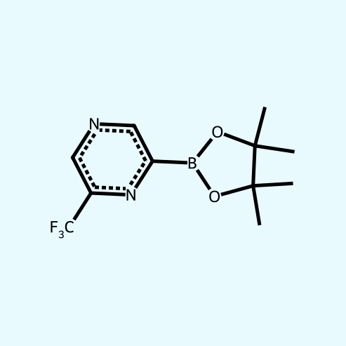 CC1(C)OB(c2cncc(C(F)(F)F)n2)OC1(C)C